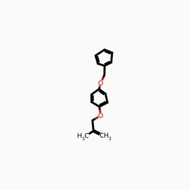 C=C(C)COc1ccc(OCc2ccccc2)cc1